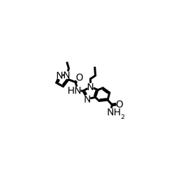 CCCn1c(NC(=O)c2ccnn2CC)nc2cc(C(N)=O)ccc21